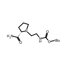 CC(C)(C)OC(=O)NCCN1CCC[C@H]1C(N)=O